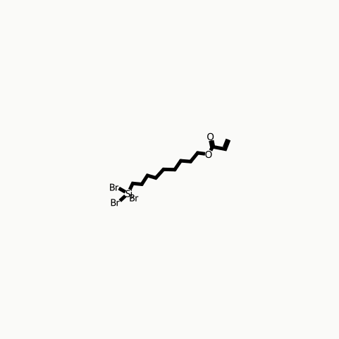 C=CC(=O)OCCCCCCCCC[Si](Br)(Br)Br